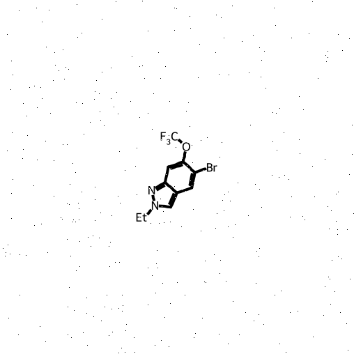 CCn1cc2cc(Br)c(OC(F)(F)F)cc2n1